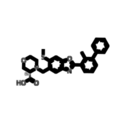 CSc1cc2oc(-c3cccc(-c4ccccc4)c3C)nc2cc1CN1CCOC[C@H]1C(=O)O